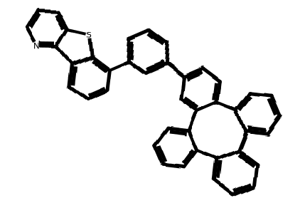 c1cc(-c2ccc3c(c2)-c2ccccc2-c2ccccc2-c2ccccc2-3)cc(-c2cccc3c2sc2cccnc23)c1